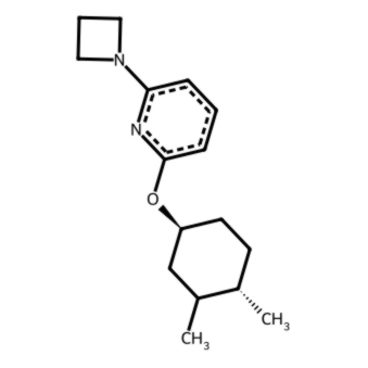 CC1C[C@@H](Oc2cccc(N3CCC3)n2)CC[C@@H]1C